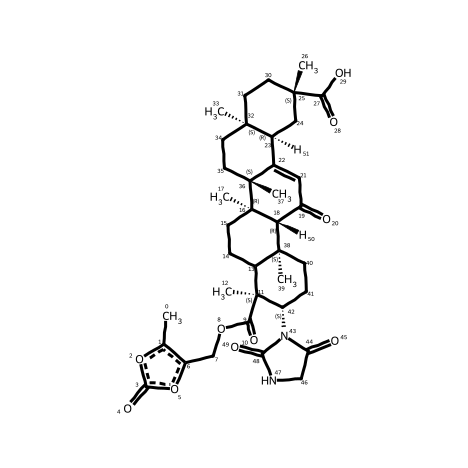 Cc1oc(=O)oc1COC(=O)[C@@]1(C)C2CC[C@]3(C)[C@H](C(=O)C=C4[C@@H]5C[C@@](C)(C(=O)O)CC[C@]5(C)CC[C@]43C)[C@@]2(C)CC[C@@H]1N1C(=O)CNC1=O